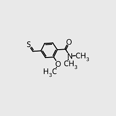 COc1cc(C=S)ccc1C(=O)N(C)C